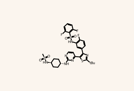 CC(C)(C)c1nc(-c2ccc(F)c(NS(=O)(=O)c3c(F)cccc3F)c2)c(-c2ccnc(N[C@H]3CC[C@H](NS(C)(=O)=O)CC3)n2)s1